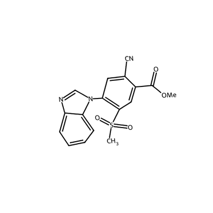 COC(=O)c1cc(S(C)(=O)=O)c(-n2cnc3ccccc32)cc1C#N